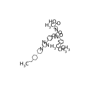 CCC[C@H]1CC[C@H](C2CCN(c3cnc(-c4ccc(C[C@H](NC(=O)c5ccc(C(C)(C)C)s5)C(=O)N5CC(C)(C(=O)O)C5)cc4)nc3)CC2)CC1